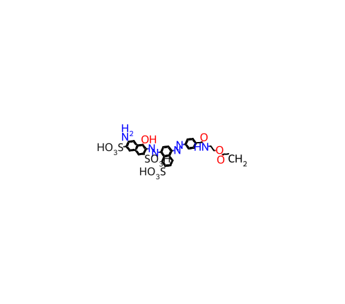 C=CC(=O)OCCNC(=O)c1ccc(/N=N/c2ccc(/N=N/c3c(S(=O)(=O)O)cc4cc(S(=O)(=O)O)c(N)cc4c3O)c3cc(S(=O)(=O)O)ccc23)cc1